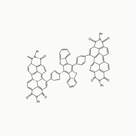 C=C1C2C=CC3=c4c2c(ccc4=C2C(c4ccc(-c5c6sc7ccccc7c6c(-c6ccc(C7=CC8C(=O)N(C(C)C)C(=O)c9ccc%10c(c98)=C7C7=CC=C8C(=O)N(C(C)C)C(=O)C9=C8C7C=%10C=C9)cc6)c6sc7ccccc7c56)cc4)=CC4=C5C(=CC=C3C52)C(=O)N(C(C)C)C4=O)C(=O)N1C(C)C